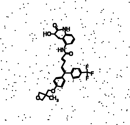 CC1(COc2ccc(/C(=C/C=C/C(=O)Nc3cccc4c3CC(O)C(=O)N4)c3ccc(C(F)(F)F)cc3)cc2)COC1